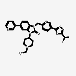 CCN1CCC(n2c(=O)n(Cc3ccc(-c4nnc(C(F)F)o4)cn3)c3ccc(-c4cccnc4)cc32)CC1